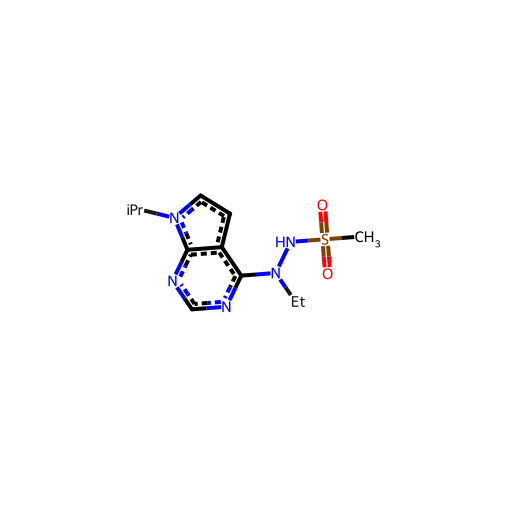 CCN(NS(C)(=O)=O)c1ncnc2c1ccn2C(C)C